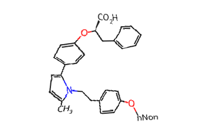 CCCCCCCCCOc1ccc(CCn2c(C)ccc2-c2ccc(O[C@H](Cc3ccccc3)C(=O)O)cc2)cc1